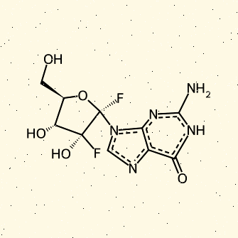 Nc1nc2c(ncn2[C@]2(F)O[C@H](CO)[C@@H](O)[C@]2(O)F)c(=O)[nH]1